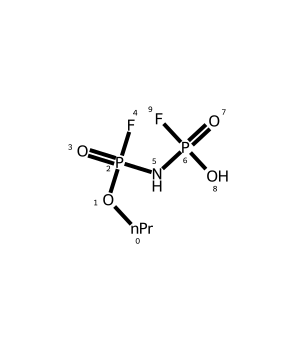 CCCOP(=O)(F)NP(=O)(O)F